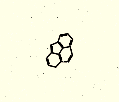 [CH]1C=CC2=Cc3cccc4ccc1c2c34